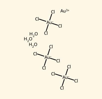 O.O.O.[Au+3].[Cl][Au-]([Cl])([Cl])[Cl].[Cl][Au-]([Cl])([Cl])[Cl].[Cl][Au-]([Cl])([Cl])[Cl]